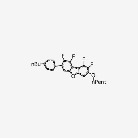 CCCCCOc1cc2oc3cc(-c4ccc(CCCC)cc4)c(F)c(F)c3c2c(F)c1F